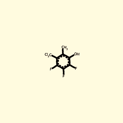 Cc1c(O)c(F)c(F)c(F)c1C(Cl)(Cl)Cl